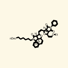 CCCCCCCCCCCCCCCCN1C(=O)[C@@H]2C(/C=C\C3OC(/C=C\OCC)[C@H]4C(=O)N(c5ccccc5)C(=O)[C@@H]34)OC(/C=C\c3ccccc3)[C@@H]2C1=O